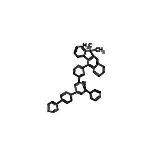 CC1(C)c2ccccc2-c2c1cc1ccccc1c2-c1cccc(-c2cc(-c3ccc(-c4ccccc4)cc3)cc(-c3ccccc3)n2)c1